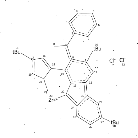 CC(c1ccccc1)=c1c(C(C)(C)C)cc2c(c1C1=CC(C(C)(C)C)=CC1C)[C]([Zr+2])=c1ccc(C(C)(C)C)cc1=2.[Cl-].[Cl-]